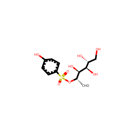 O=C[C@H](OS(=O)(=O)c1ccc(O)cc1)[C@@H](O)[C@H](O)[C@H](O)CO